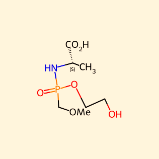 COCP(=O)(N[C@@H](C)C(=O)O)OCCO